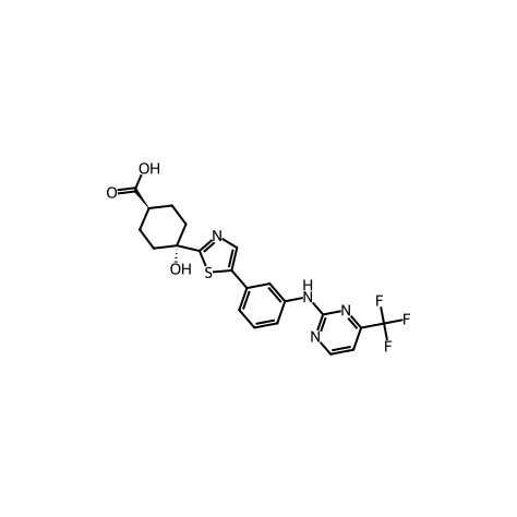 O=C(O)[C@H]1CC[C@@](O)(c2ncc(-c3cccc(Nc4nccc(C(F)(F)F)n4)c3)s2)CC1